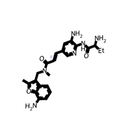 CCC(N)C(=O)Nc1ncc(/C=C/C(=O)N(C)Cc2c(C)oc3c(N)cccc23)cc1N